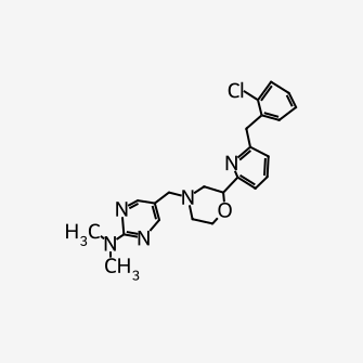 CN(C)c1ncc(CN2CCOC(c3cccc(Cc4ccccc4Cl)n3)C2)cn1